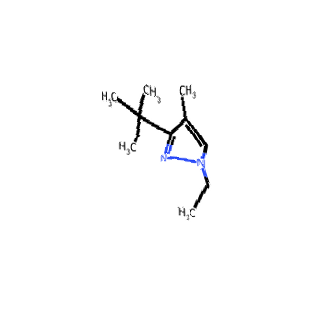 CCn1cc(C)c(C(C)(C)C)n1